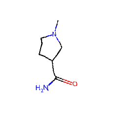 CN1CCC(C(N)=O)C1